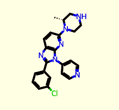 C[C@@H]1CNCCN1c1ccc2nc(-c3cccc(Cl)c3)n(-c3ccncc3)c2n1